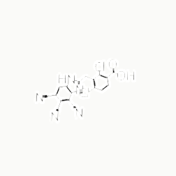 N#Cc1cc2[nH]c(Cc3c(Cl)ccc(C(=O)O)c3Cl)nc2c(C#N)c1C#N